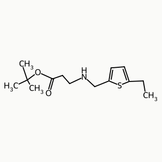 CCc1ccc(CNCCC(=O)OC(C)(C)C)s1